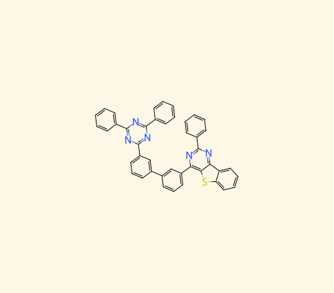 c1ccc(-c2nc(-c3ccccc3)nc(-c3cccc(-c4cccc(-c5nc(-c6ccccc6)nc6c5sc5ccccc56)c4)c3)n2)cc1